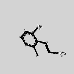 Cc1cccc(O)c1C=CC=O